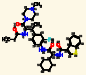 CCC(=O)N[C@@H](C(=O)N1CCN(C)CC1)[C@@H](C)c1ccc(NC(=O)[C@@H](NC(=O)c2csc3ccccc23)C2CCCCC2)c(F)c1